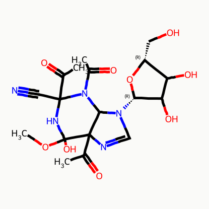 COC1(O)NC(C#N)(C(C)=O)N(C(C)=O)C2N([C@@H]3O[C@H](CO)C(O)C3O)C=NC21C(C)=O